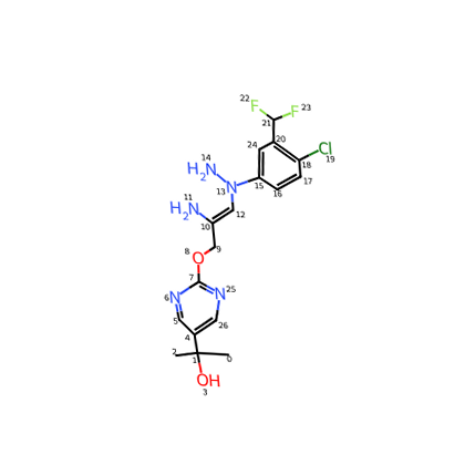 CC(C)(O)c1cnc(OC/C(N)=C/N(N)c2ccc(Cl)c(C(F)F)c2)nc1